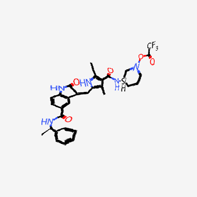 Cc1[nH]c(/C=C2\C(=O)Nc3ccc(C(=O)N[C@H](C)c4ccccc4)cc32)c(C)c1C(=O)N[Si@H]1CCCN(OC(=O)C(F)(F)F)C1